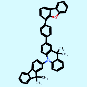 CC1(C)c2ccccc2-c2ccc(N3c4ccccc4C(C)(C)c4cc(-c5ccc(-c6cccc7c6oc6ccccc67)cc5)ccc43)cc21